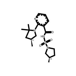 C[C@@H]1CCN(S(=O)(=O)NC(=O)c2cccnc2N2C[C@@H](C)CC2(C)C)C1